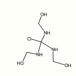 OCNC(Cl)(NCO)NCO